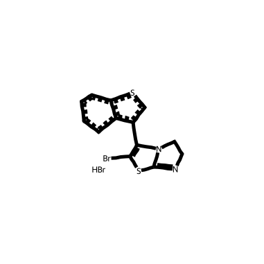 Br.BrC1=C(c2csc3ccccc23)N2CCN=C2S1